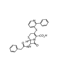 O=C(Cc1ccccc1)N[C@@H]1C(=O)N2C(C(=O)O)=C(Sc3cccnc3-c3ccccc3)CS[C@@H]12